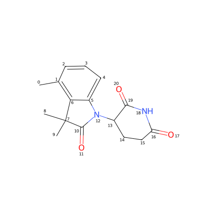 Cc1cccc2c1C(C)(C)C(=O)N2C1CCC(=O)NC1=O